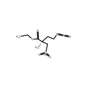 CCOC(=O)[C@@](C)(CCN=[N+]=[N-])C[SH](=O)=O